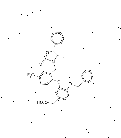 C[C@H]1[C@@H](c2ccccc2)OC(=O)N1Cc1cc(C(F)(F)F)ccc1Oc1cc(CC(=O)O)ccc1OCc1ccccc1